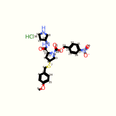 COc1ccc(CS[C@H]2C[C@@H](C(=O)NC3CCNC3)N(C(=O)OCc3ccc([N+](=O)[O-])cc3)C2)cc1.Cl